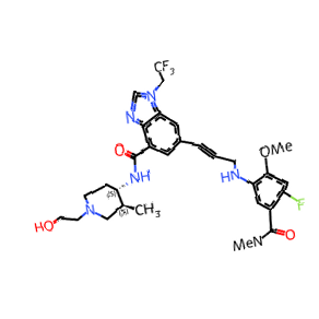 CNC(=O)c1cc(NCC#Cc2cc(C(=O)N[C@H]3CCN(CCO)C[C@@H]3C)c3ncn(CC(F)(F)F)c3c2)c(OC)cc1F